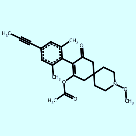 CC#Cc1cc(C)c(C2=C(OC(C)=O)CC3(CCN(OC)CC3)CC2=O)c(C)c1